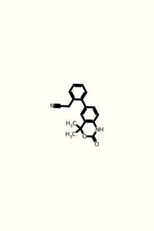 CC1(C)OC(=O)Nc2ccc(-c3ccccc3CC#N)cc21